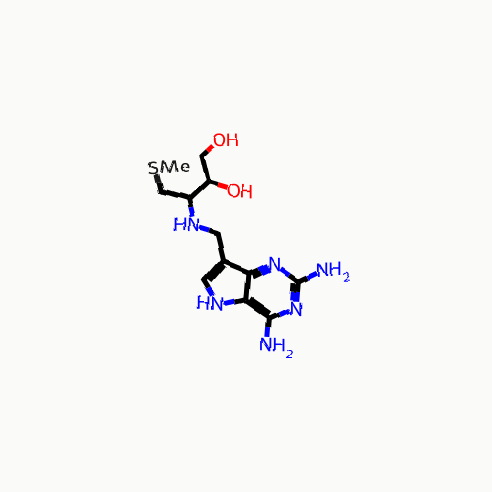 CSCC(NCc1c[nH]c2c(N)nc(N)nc12)C(O)CO